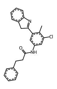 Cc1c(Cl)cc(NC(=O)CCc2ccccc2)cc1C1=Nc2ccccc2C1